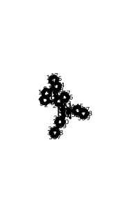 CC1CC=CC2=C1C1C(C=C2)c2c(ccc3ccccc23)N1c1ccc(-c2nc(-c3ccc(-c4ccccc4)cc3)nc(-c3ccc4ccccc4c3)n2)c2ccccc12